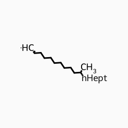 [CH]=CCCCCCCCCC(C)CCCCCCC